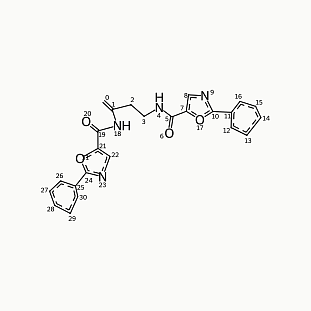 C=C(CCNC(=O)c1cnc(-c2ccccc2)o1)NC(=O)c1cnc(-c2ccccc2)o1